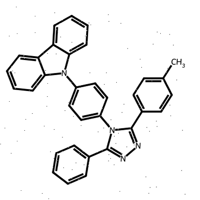 Cc1ccc(-c2nnc(-c3ccccc3)n2-c2ccc(-n3c4ccccc4c4ccccc43)cc2)cc1